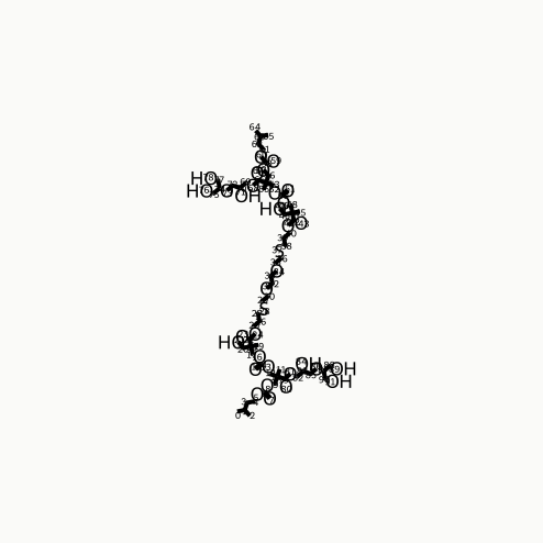 CC(C)CCOC(=O)OCC(C)(COC(=O)OCC(C)(CO)C(=O)OCCCSCCOCCOCCSCCCOC(=O)C(C)(CO)COC(=O)OCC(C)(COC(=O)OCCC(C)C)C(=O)OCC(O)COC(CO)CO)C(=O)OCC(O)COC(CO)CO